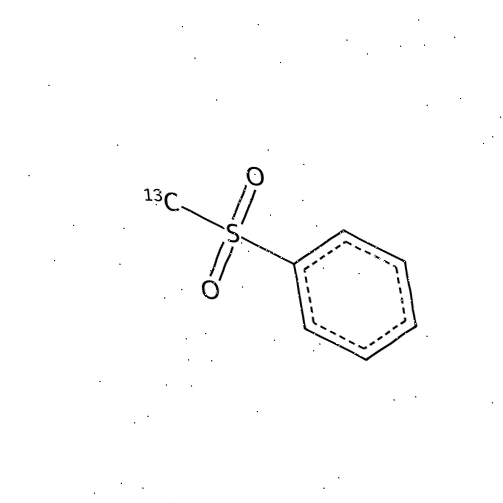 [13CH3]S(=O)(=O)c1ccccc1